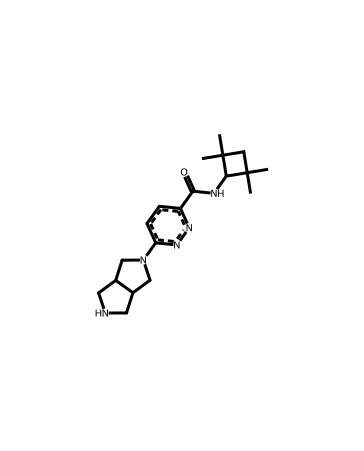 CC1(C)CC(C)(C)C1NC(=O)c1ccc(N2CC3CNCC3C2)nn1